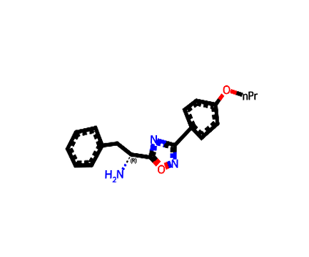 CCCOc1ccc(-c2noc([C@H](N)Cc3ccccc3)n2)cc1